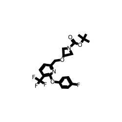 CC(C)(C)OC(=O)N1CC(OCc2ccc(C(F)(F)F)c(Oc3ccc(F)cc3)n2)C1